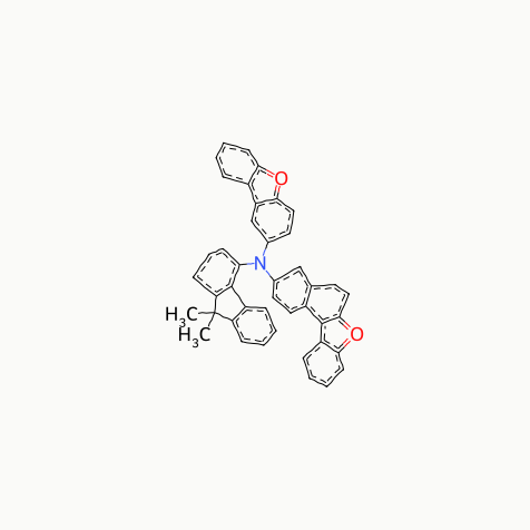 CC1(C)c2ccccc2-c2c(N(c3ccc4c(ccc5oc6ccccc6c54)c3)c3ccc4oc5ccccc5c4c3)cccc21